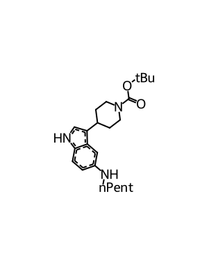 CCCCCNc1ccc2[nH]cc(C3CCN(C(=O)OC(C)(C)C)CC3)c2c1